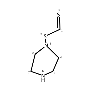 S=CSN1CCNCC1